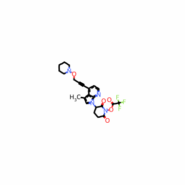 Cc1cn(C2CCC(=O)N(OC(=O)C(F)(F)F)C2=O)c2nccc(C#CCON3CCCCC3)c12